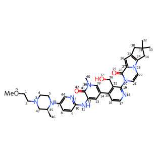 COCCN1CCN(c2ccc(Nc3cc(-c4ccnc(-n5ccn6c7c(cc6c5=O)CC(C)(C)C7)c4CO)cn(C)c3=O)nc2)[C@@H](C)C1